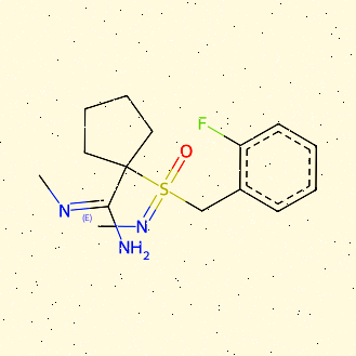 CN=S(=O)(Cc1ccccc1F)C1(/C(N)=N\C)CCCC1